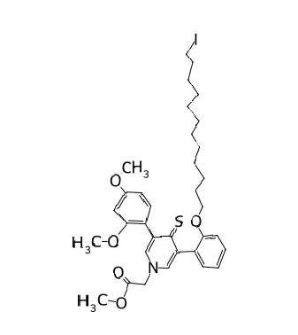 COC(=O)Cn1cc(-c2ccc(OC)cc2OC)c(=S)c(-c2ccccc2OCCCCCCCCCCCCI)c1